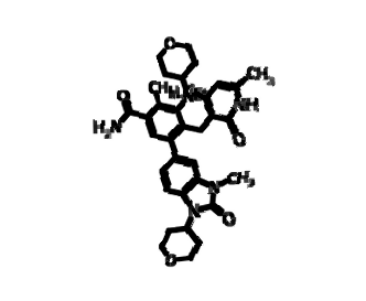 CCN(c1c(C)c(C(N)=O)cc(-c2ccc3c(c2)n(C)c(=O)n3C2CCOCC2)c1Cc1c(C)cc(C)[nH]c1=O)C1CCOCC1